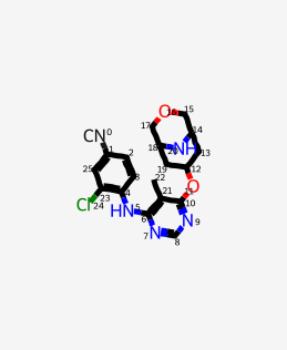 [C-]#[N+]c1ccc(Nc2ncnc(OC3CC4COCC(C3)N4)c2C)c(Cl)c1